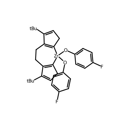 CC(C)(C)C1=CC[C]2=C1CCC1=[C](CC=C1C(C)(C)C)[Zr]2([O]c1ccc(F)cc1)[O]c1ccc(F)cc1